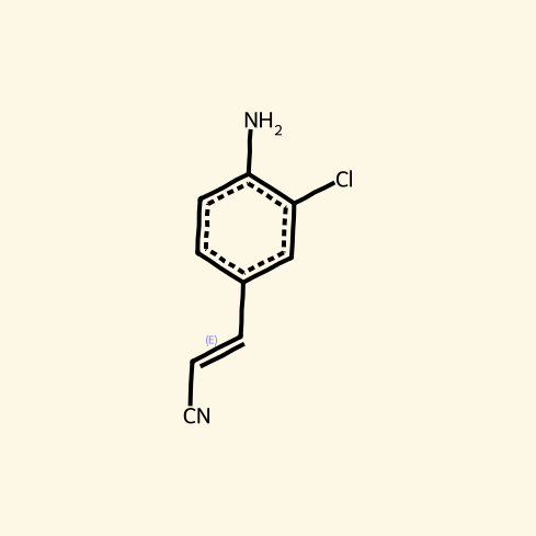 N#C/C=C/c1ccc(N)c(Cl)c1